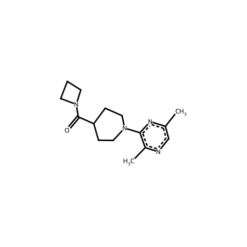 Cc1cnc(C)c(N2CCC(C(=O)N3CCC3)CC2)n1